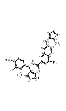 COc1ccc([C@H](NC(=O)c2cc(F)c3cnc(Nc4ccnn4C)nc3c2)c2c[nH]nc2C)cc1F